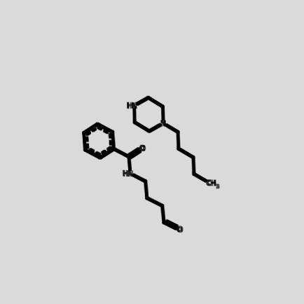 CCCCCN1CCNCC1.O=CCCCNC(=O)c1ccccc1